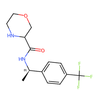 C[C@@H](NC(=O)C1COCCN1)c1ccc(C(F)(F)F)cc1